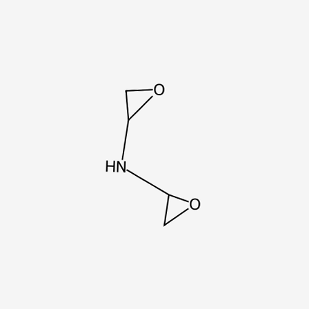 C1OC1NC1CO1